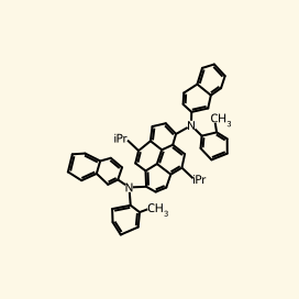 Cc1ccccc1N(c1ccc2ccccc2c1)c1ccc2c(C(C)C)cc3c(N(c4ccc5ccccc5c4)c4ccccc4C)ccc4c(C(C)C)cc1c2c43